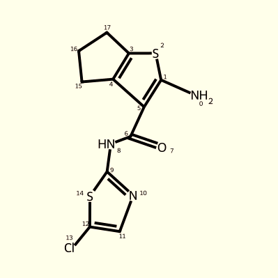 Nc1sc2c(c1C(=O)Nc1ncc(Cl)s1)CCC2